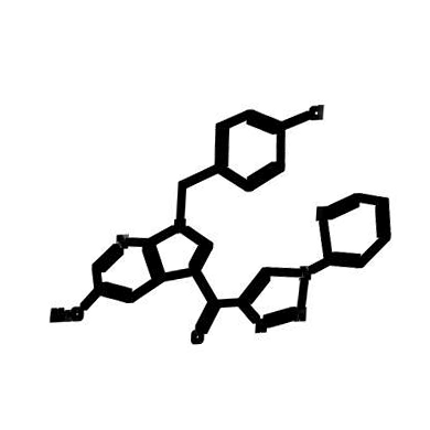 COc1cnc2c(c1)c(C(=O)c1cn(-c3ccccn3)nn1)cn2Cc1ccc(Cl)cc1